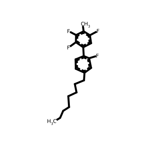 CCCCCCCCc1ccc(-c2cc(F)c(C)c(F)c2F)c(F)c1